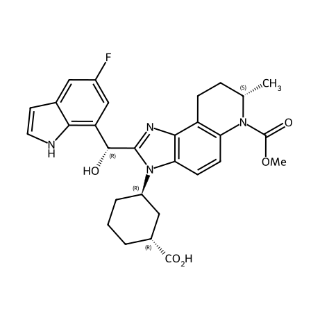 COC(=O)N1c2ccc3c(nc([C@H](O)c4cc(F)cc5cc[nH]c45)n3[C@@H]3CCC[C@@H](C(=O)O)C3)c2CC[C@@H]1C